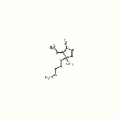 CCCCCC1(C)CCC(Cl)C1CC